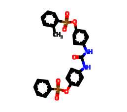 Cc1ccccc1S(=O)(=O)Oc1ccc(NC(=O)Nc2ccc(OS(=O)(=O)c3ccccc3)cc2)cc1